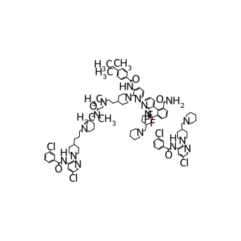 CN(CCC1CCN(c2ncccc2NC(=O)c2ccc(C(C)(C)C)cc2)CC1)CC(=O)N(C)C.NC(=O)c1cccc(C(F)(F)F)c1-c1cccnc1N1CCC(CN2CCCCC2)CC1.O=C(Nc1cc(Cl)cnc1N1CCC(CCCN2CCCCC2)CC1)c1cccc(Cl)c1.O=C(Nc1cc(Cl)cnc1N1CCC(CN2CCCCC2)CC1)c1cccc(Cl)c1